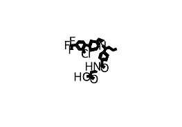 CCCC(c1ccc(C(=O)NCCC(=O)O)cc1)n1ccc2cc(-c3ccc(C(F)(F)F)cc3Cl)ccc21